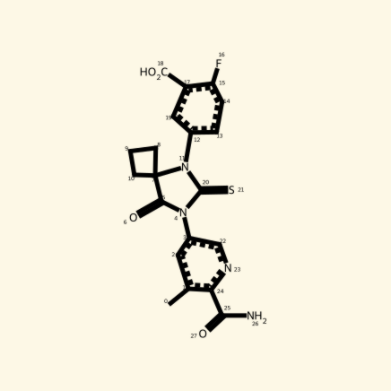 Cc1cc(N2C(=O)C3(CCC3)N(c3ccc(F)c(C(=O)O)c3)C2=S)cnc1C(N)=O